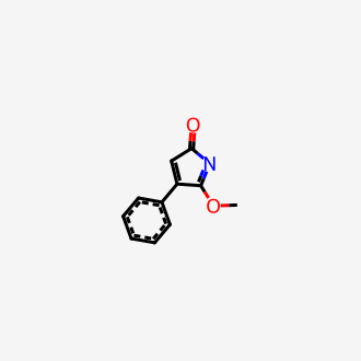 COC1=NC(=O)C=C1c1ccccc1